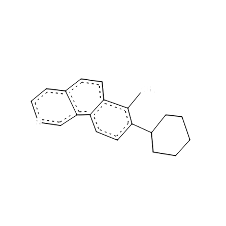 Cc1c(C2CCCCC2)ccc2c1ccc1ccncc12